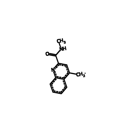 [CH2]c1cc(C(=O)NC)nc2ccccc12